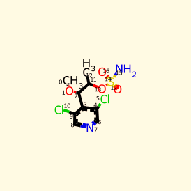 COC(c1c(Cl)cncc1Cl)C(C)OS(N)(=O)=O